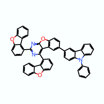 c1ccc(-n2c3ccccc3c3cc(-c4ccc5oc6nc(-c7cccc8oc9ccccc9c78)nc(-c7cccc8oc9ccccc9c78)c6c5c4)ccc32)cc1